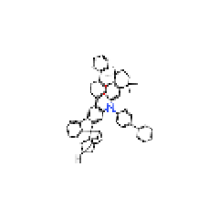 CC1(C)CCC(C)(C)c2cc(N(c3ccc(-c4ccccc4)cc3)c3cc4c(cc3C3=CC=C(c5ccccc5)CC3)-c3ccccc3C43C4CC5C[C@@H](C4)CC53)ccc21